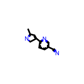 CC1=NCC(c2ccc(C#N)cn2)=C1